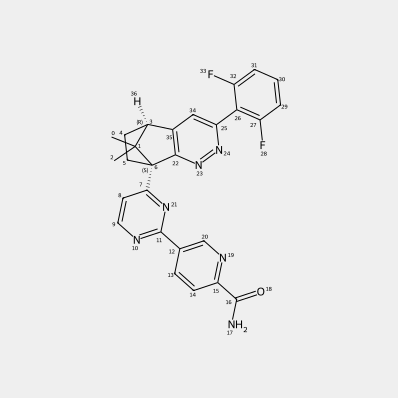 CC1(C)[C@H]2CC[C@]1(c1ccnc(-c3ccc(C(N)=O)nc3)n1)c1nnc(-c3c(F)cccc3F)cc12